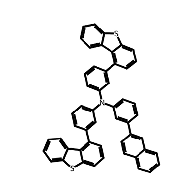 c1cc(-c2ccc3ccccc3c2)cc(N(c2cccc(-c3cccc4sc5ccccc5c34)c2)c2cccc(-c3cccc4sc5ccccc5c34)c2)c1